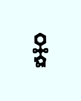 O=S(=O)(c1ccccc1)c1cnon1